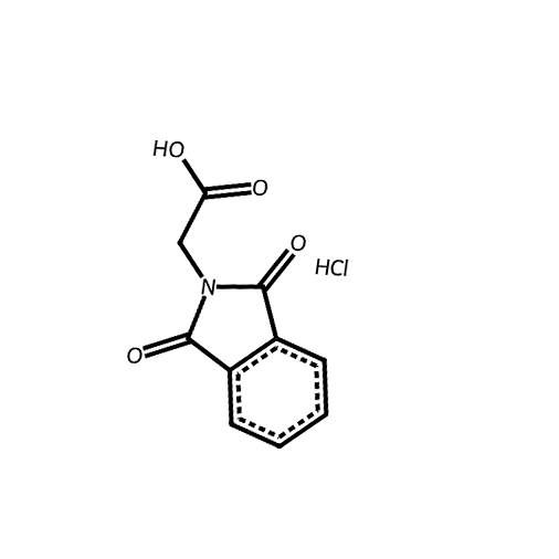 Cl.O=C(O)CN1C(=O)c2ccccc2C1=O